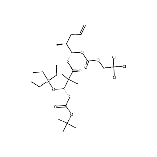 C=CC[C@H](C)[C@@H](CC(=O)C(C)(C)[C@H](CC(=O)OC(C)(C)C)O[Si](CC)(CC)CC)OC(=O)OCC(Cl)(Cl)Cl